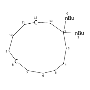 CCCCC1(CCCC)CCCCCCCCCCC1